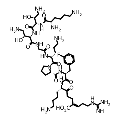 N=C(N)NCC/C=C(\CCC(=O)[C@H](CCCCN)NC(=O)[C@H](Cc1cccc(F)c1)NC(=O)[C@@H]1CCCN1C(=O)[C@@H](CCCN)NC(=O)CNC(=O)[C@@H](NC(=O)[C@@H](NC(=O)[C@@H](N)CCCCN)[C@@H](O)CN)[C@@H](O)CN)C(=O)O